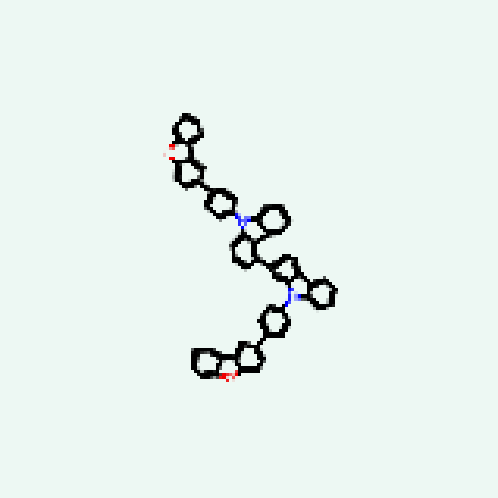 c1ccc2c(c1)oc1ccc(-c3ccc(-n4c5ccccc5c5ccc(-c6cccc7c6c6ccccc6n7-c6ccc(-c7ccc8oc9ccccc9c8c7)cc6)cc54)cc3)cc12